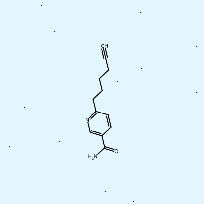 C#CCCCCc1ccc(C(N)=O)cn1